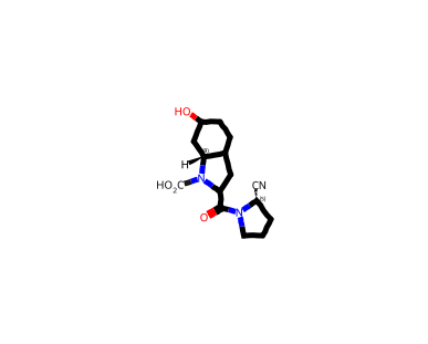 N#C[C@@H]1CCCN1C(=O)C1CC2CCC(O)C[C@H]2N1C(=O)O